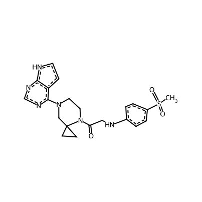 CS(=O)(=O)c1ccc(NCC(=O)N2CCN(c3ncnc4[nH]ccc34)CC23CC3)cc1